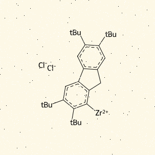 CC(C)(C)c1cc2c(cc1C(C)(C)C)-c1cc(C(C)(C)C)c(C(C)(C)C)[c]([Zr+2])c1C2.[Cl-].[Cl-]